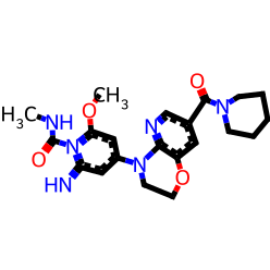 CNC(=O)n1c(OC)cc(N2CCOc3cc(C(=O)N4CCCCC4)cnc32)cc1=N